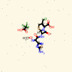 CO/N=C(\C(=O)N[C@@H]1C(=O)N2C(C(=O)O)=C(CCl)CS[C@H]12)c1nsc(N)n1.O=C(O)C(F)(F)F